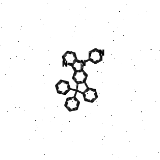 c1ccc(C2(c3ccccc3)c3ccccc3-c3cc4c(cc32)c2ncccc2n4-c2ccncc2)cc1